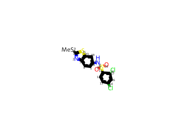 CSc1nc2ccc(NS(=O)(=O)c3ccc(Cl)cc3Cl)cc2s1